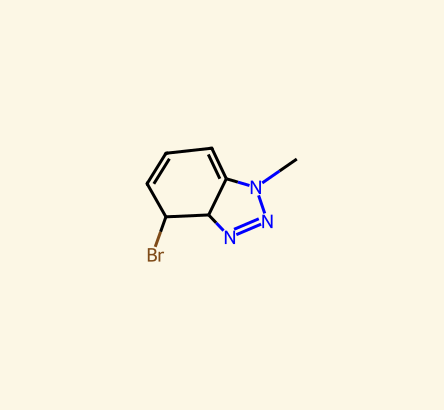 CN1N=NC2C1=CC=CC2Br